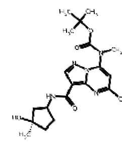 CN(C(=O)OC(C)(C)C)c1cc(Cl)nc2c(C(=O)NC3CC[C@@](C)(O)C3)cnn12